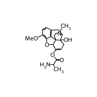 COc1ccc2c3c1OC1C(OC(=O)C(C)N)=CCC4(O)C(C2)N(C)CCC314